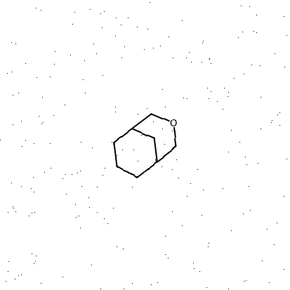 C1CC2COCC(C1)C2